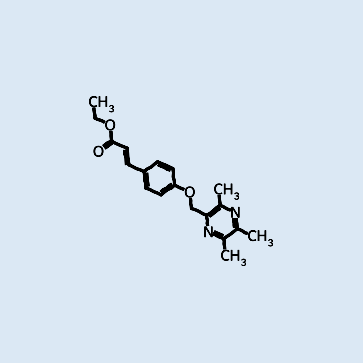 CCOC(=O)/C=C/c1ccc(OCc2nc(C)c(C)nc2C)cc1